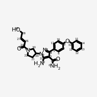 NC(=O)c1c(-c2ccc(Oc3ccccc3)cc2)nn(C2CCN(C(=O)C=CCO)C2)c1N